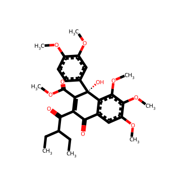 CCC(CC)C(=O)C1=C(C(=O)OC)[C@@](O)(c2ccc(OC)c(OC)c2)c2c(cc(OC)c(OC)c2OC)C1=O